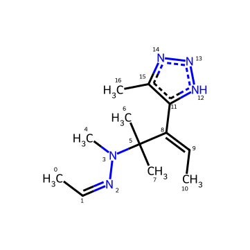 C/C=N\N(C)C(C)(C)/C(=C\C)c1[nH]nnc1C